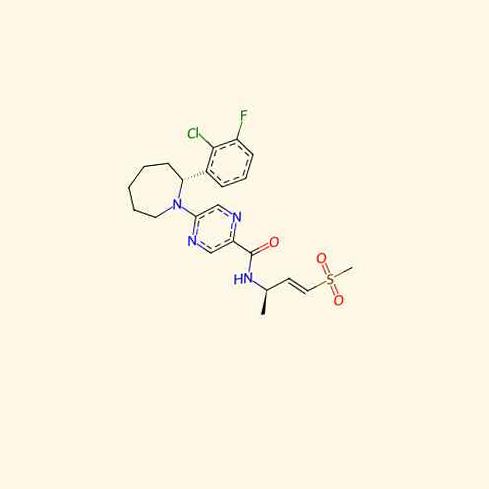 C[C@H](/C=C/S(C)(=O)=O)NC(=O)c1cnc(N2CCCCC[C@@H]2c2cccc(F)c2Cl)cn1